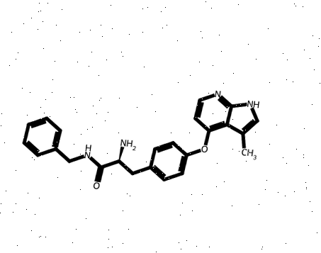 Cc1c[nH]c2nccc(Oc3ccc(C[C@H](N)C(=O)NCc4ccccc4)cc3)c12